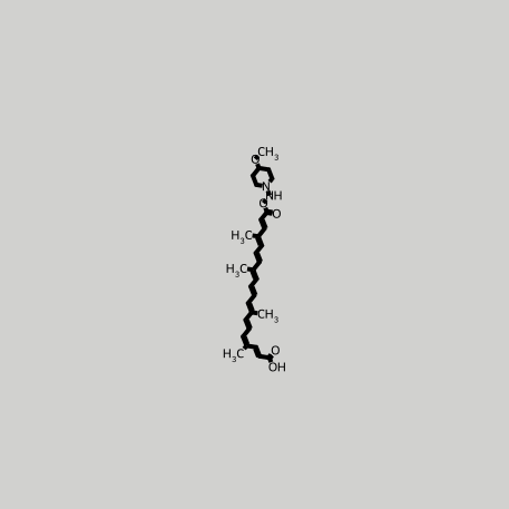 COC1CCN(NOC(=O)/C=C/C(C)=C/C=C/C(C)=C/C=C/C=C(C)/C=C/C=C(C)\C=C\C(=O)O)CC1